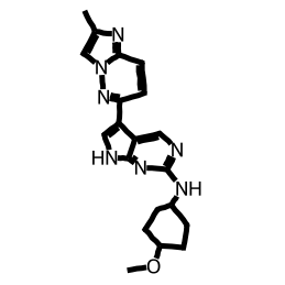 COC1CCC(Nc2ncc3c(-c4ccc5nc(C)cn5n4)c[nH]c3n2)CC1